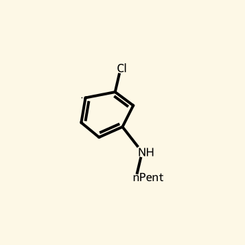 CCCCCNc1cc[c]c(Cl)c1